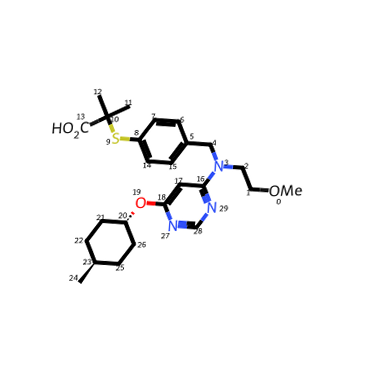 COCCN(Cc1ccc(SC(C)(C)C(=O)O)cc1)c1cc(O[C@H]2CC[C@H](C)CC2)ncn1